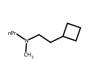 CCCN(C)CCC1CCC1